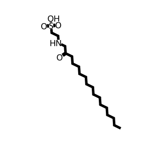 CCCCCCCCCCCCCCCC(=O)CNCCS(=O)(=O)O